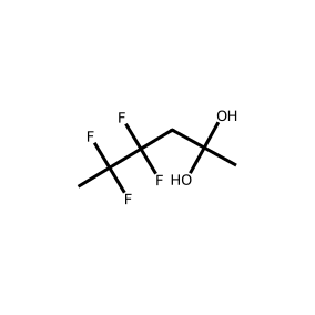 CC(O)(O)CC(F)(F)C(C)(F)F